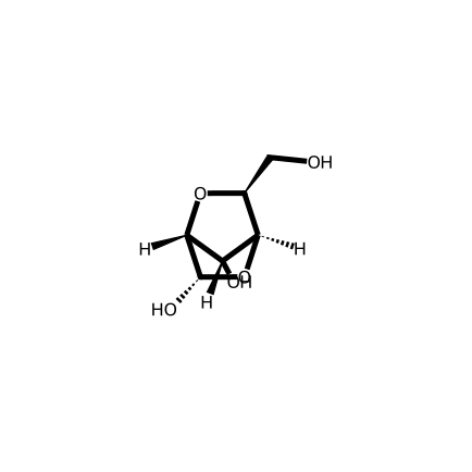 OC[C@@H]1O[C@@H]2[C@@H](O)[C@@H]1O[C@@H]2O